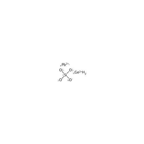 [GeH2+2].[O-][Si]([O-])([O-])[O-].[Pb+2]